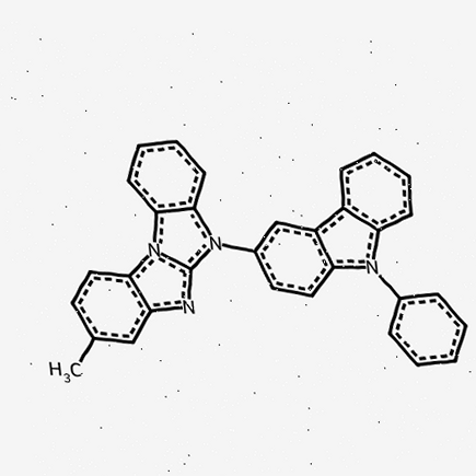 Cc1ccc2c(c1)nc1n(-c3ccc4c(c3)c3ccccc3n4-c3ccccc3)c3ccccc3n21